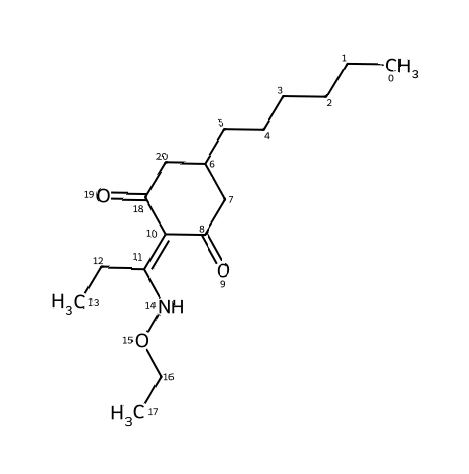 CCCCCCC1CC(=O)C(=C(CC)NOCC)C(=O)C1